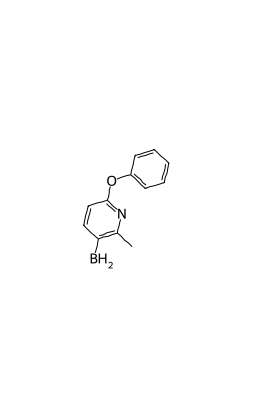 Bc1ccc(Oc2ccccc2)nc1C